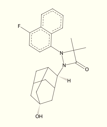 CC1(C)C(=O)N([C@H]2C3CC4CC2C[C@](O)(C4)C3)N1c1ccc(F)c2ccccc12